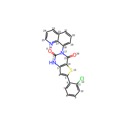 O=c1[nH]c2cc(-c3ccccc3Cl)sc2c(=O)n1-c1cccc2cccnc12